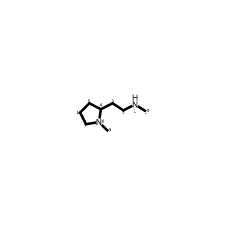 [CH2]NCCC1CCCN1C